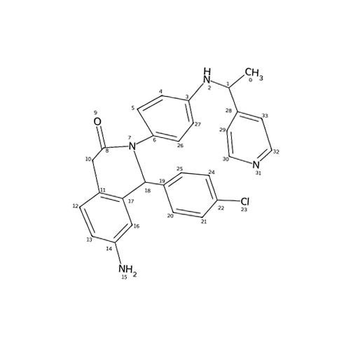 CC(Nc1ccc(N2C(=O)Cc3ccc(N)cc3C2c2ccc(Cl)cc2)cc1)c1ccncc1